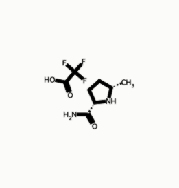 C[C@H]1CC[C@@H](C(N)=O)N1.O=C(O)C(F)(F)F